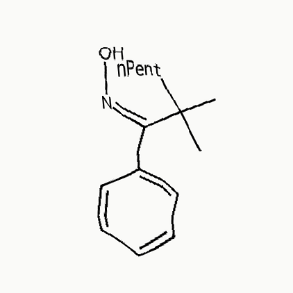 CCCCCC(C)(C)C(=NO)c1ccccc1